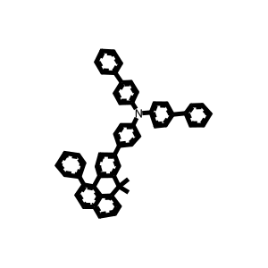 CC1(C)c2cc(-c3ccc(N(c4ccc(-c5ccccc5)cc4)c4ccc(-c5ccccc5)cc4)cc3)ccc2-c2c(-c3ccccc3)ccc3cccc1c23